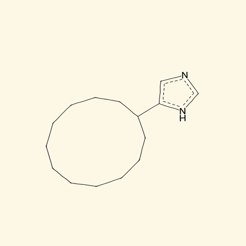 c1ncc(C2CCCCCCCCCCC2)[nH]1